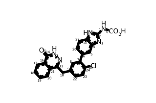 O=C(O)Nc1nc2cc(-c3cc(Cc4n[nH]c(=O)c5ccccc45)ccc3Cl)ccc2[nH]1